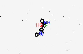 OC(CF)(c1ccc2c(cnn2-c2ccccc2)c1)c1c[nH]c2ccccc12